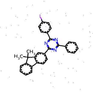 CC1(C)c2ccccc2-c2ccc(-c3nc(-c4ccccc4)nc(-c4ccc(I)cc4)n3)cc21